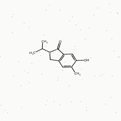 Cc1cc2c(cc1O)C(=O)N(C(C)C)C2